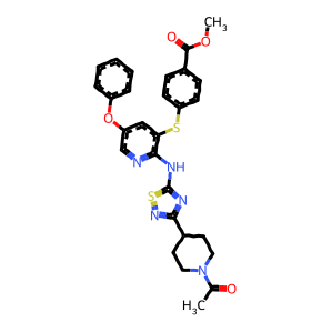 COC(=O)c1ccc(Sc2cc(Oc3ccccc3)cnc2Nc2nc(C3CCN(C(C)=O)CC3)ns2)cc1